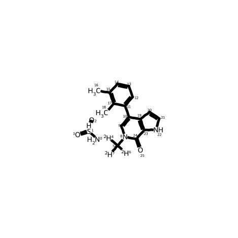 N[SH](=O)=O.[2H]C([2H])([2H])n1cc(-c2cccc(C)c2C)c2cc[nH]c2c1=O